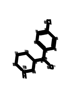 [O-][S+](c1ccc(Cl)cc1)C1CCCNC1